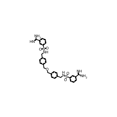 N=C(N)c1cccc(S(=O)(=O)NCc2ccc(COCc3ccc(CNS(=O)(=O)c4cccc(C(=N)N)c4)cc3)cc2)c1